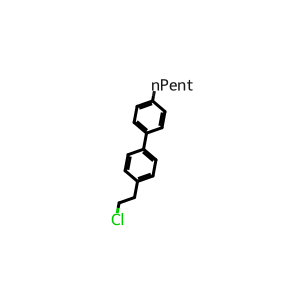 CCCCCc1ccc(-c2ccc(CCCl)cc2)cc1